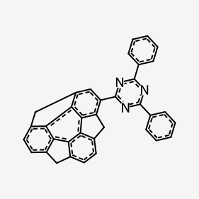 c1ccc(-c2nc(-c3ccccc3)nc(-c3cc4c5c6c(ccc7c6c6c(ccc8c6c5c3C8)C7)C4)n2)cc1